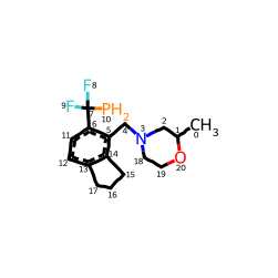 CC1CN(Cc2c(C(F)(F)P)ccc3c2CCC3)CCO1